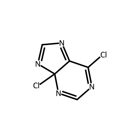 ClC1=NC=NC2(Cl)N=CN=C12